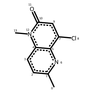 Cc1ccc2c(n1)c(Cl)cc(=O)n2C